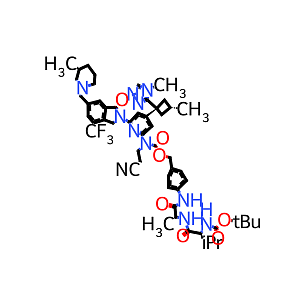 CC(C)[C@H](NC(=O)OC(C)(C)C)C(=O)N[C@@H](C)C(=O)Nc1ccc(COC(=O)N(CCC#N)c2cc([C@]3(c4nncn4C)C[C@@H](C)C3)cc(N3Cc4c(cc(CN5CCC[C@H](C)C5)cc4C(F)(F)F)C3=O)n2)cc1